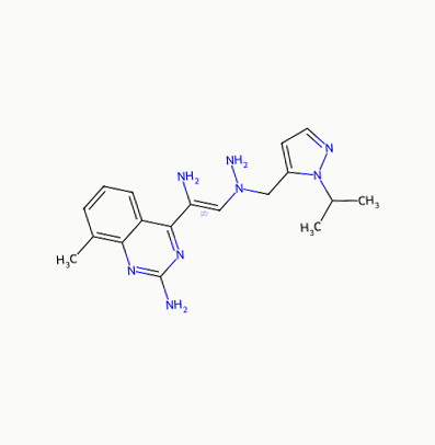 Cc1cccc2c(/C(N)=C/N(N)Cc3ccnn3C(C)C)nc(N)nc12